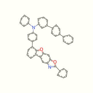 c1ccc(-c2ccc(-c3cccc(N(c4ccccc4)c4ccc(-c5cccc6c5oc5cc7oc(-c8ccccc8)nc7cc56)cc4)c3)cc2)cc1